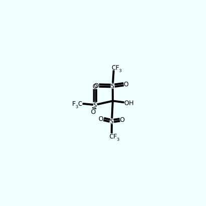 O=S(=O)(C(F)(F)F)C(O)(S(=O)(=O)C(F)(F)F)S(=O)(=O)C(F)(F)F